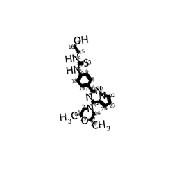 C[C@@H]1CN(c2nc(-c3ccc(NC(=S)NCCO)cc3)nn3cccc23)C[C@H](C)O1